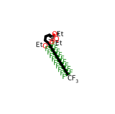 CCOC1(C(F)(F)C(F)(F)C(F)(F)C(F)(F)C(F)(F)C(F)(F)C(F)(F)C(F)(F)C(F)(F)C(F)(F)F)CCC[Si](OCC)(OCC)O1